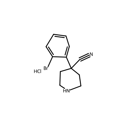 Cl.N#CC1(c2ccccc2Br)CCNCC1